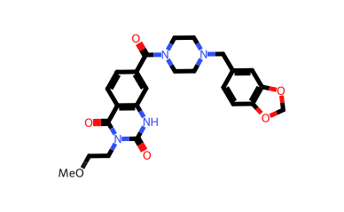 COCCn1c(=O)[nH]c2cc(C(=O)N3CCN(Cc4ccc5c(c4)OCO5)CC3)ccc2c1=O